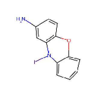 Nc1ccc2c(c1)N(I)c1ccccc1O2